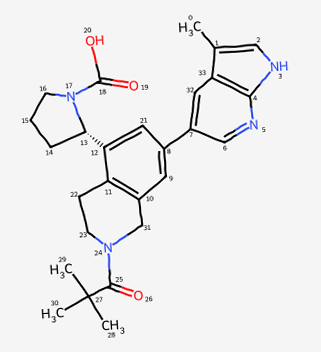 Cc1c[nH]c2ncc(-c3cc4c(c([C@@H]5CCCN5C(=O)O)c3)CCN(C(=O)C(C)(C)C)C4)cc12